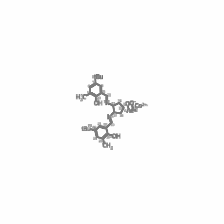 CC(=O)[O-].CC(=O)[O-].Cc1cc(C(C)(C)C)cc(C=NC2CCCC2N=Cc2cc(C(C)(C)C)cc(C)c2O)c1O.[Co+2]